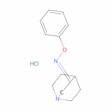 Cl.c1ccc(ON=C2CN3CCC2CC3)cc1